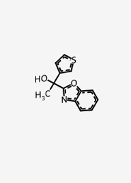 CC(O)(c1ccsc1)c1nc2ccccc2o1